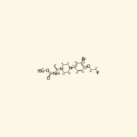 C=C(NC(=O)OC(C)(C)C)N1CCN(c2ccc(OCCF)c(Br)c2)CC1